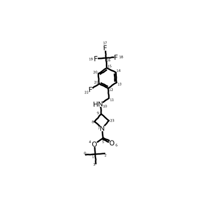 CC(C)(C)OC(=O)N1CC(NCc2ccc(C(F)(F)F)cc2F)C1